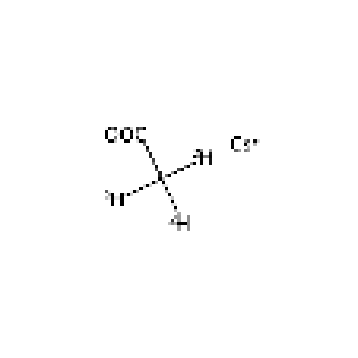 [2H]C([2H])([2H])C(=O)[O-].[Cs+]